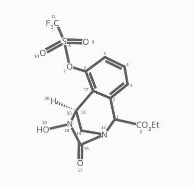 CCOC(=O)C1c2cccc(OS(=O)(=O)C(F)(F)F)c2[C@H]2CN1C(=O)N2O